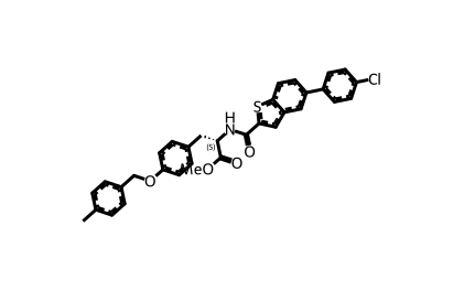 COC(=O)[C@H](Cc1ccc(OCc2ccc(C)cc2)cc1)NC(=O)c1cc2cc(-c3ccc(Cl)cc3)ccc2s1